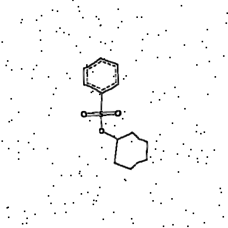 O=S(=O)(OC1CCCCC1)c1ccccc1